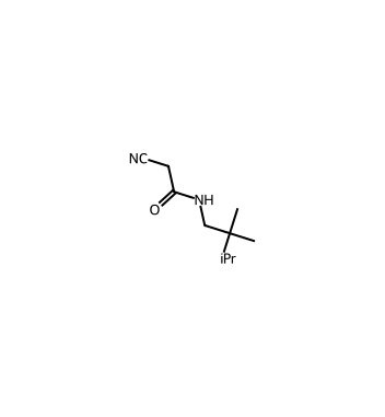 CC(C)C(C)(C)CNC(=O)CC#N